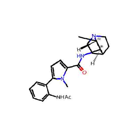 CC(=O)Nc1ccccc1-c1ccc(C(=O)N[C@@H]2C3CCN(CC3)[C@H]2C)n1C